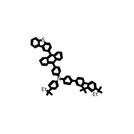 CCC(C)(C)c1ccc(N(c2ccc(-c3ccc4c(c3)C(C)(C)c3cc(C(C)(C)CC)ccc3-4)cc2)c2ccc(-c3c4ccccc4c(-c4ccc5sc6ccccc6c5c4)c4ccccc34)cc2)cc1